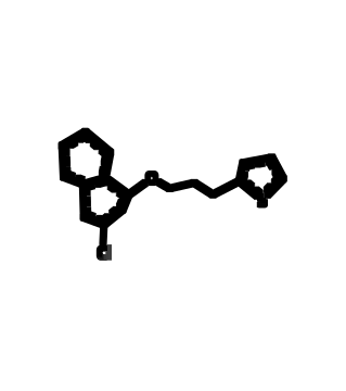 Clc1cc(OCCCc2cccs2)c2ccccc2c1